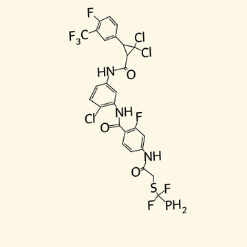 O=C(CSC(F)(F)P)Nc1ccc(C(=O)Nc2cc(NC(=O)C3C(c4ccc(F)c(C(F)(F)F)c4)C3(Cl)Cl)ccc2Cl)c(F)c1